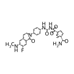 CNc1cc2ccn(-c3ccc(NC(=O)NS(=O)(=O)c4ccc(C(N)=O)s4)cc3)c(=O)c2cc1F